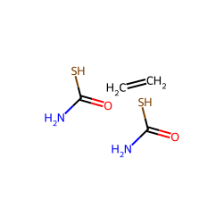 C=C.NC(=O)S.NC(=O)S